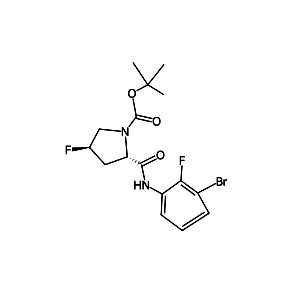 CC(C)(C)OC(=O)N1C[C@H](F)C[C@H]1C(=O)Nc1cccc(Br)c1F